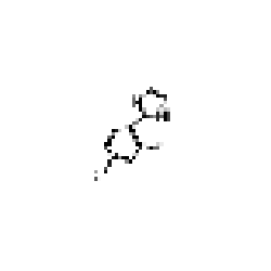 Fc1cc(Cl)ccc1-c1ncc[nH]1